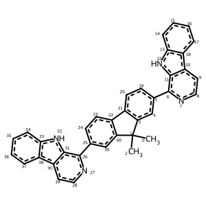 CC1(C)c2cc(-c3nccc4c3[nH]c3ccccc34)ccc2-c2ccc(-c3nccc4c3[nH]c3ccccc34)cc21